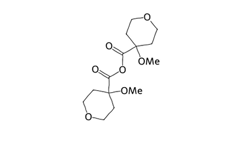 COC1(C(=O)OC(=O)C2(OC)CCOCC2)CCOCC1